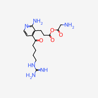 N=C(N)NCCCCC(=O)c1ccnc(N)c1CCC(=O)OC(=O)CN